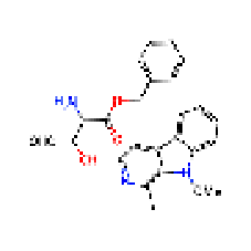 COn1c2ccccc2c2ccnc(C)c21.NC(C(=O)OCc1ccccc1)C(O)C=O